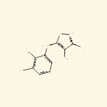 N#Cc1c(O)nsc1Nc1cccc(Cl)c1Cl